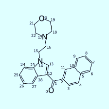 O=C(c1ccc2ccccc2c1)c1cn(CCN2CCOCC2)c2ccccc12